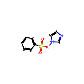 O=S(=O)(On1ccnc1)c1ccccc1